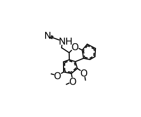 COc1cc2c(c(OC)c1OC)-c1ccccc1OC2CNC#N